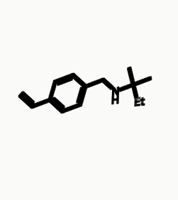 C=Cc1ccc(CNC(C)(C)CC)cc1